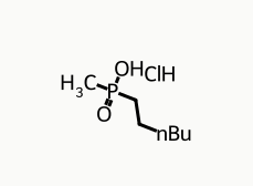 CCCCCCP(C)(=O)O.Cl